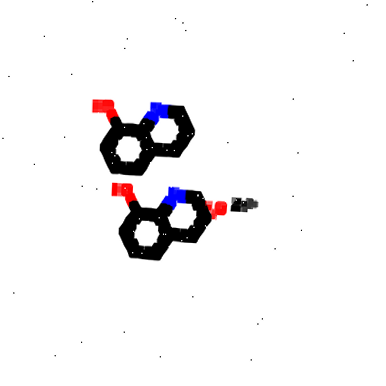 O.Oc1cccc2cccnc12.Oc1cccc2cccnc12.[Zn+2]